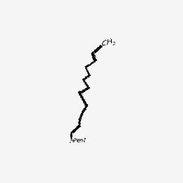 [CH2]CCCC/C=C/CCCCCCCCC=C